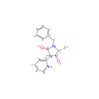 O=C1C(F)N(Cc2ccccc2)C(=O)N1c1ccccn1